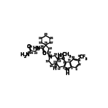 C[C@H]1c2c([nH]c3ccc(C(F)(F)F)cc23)C[C@H]2CCN(CCC3(C(=O)NCC(N)=O)CCCCC3)C[C@@H]21